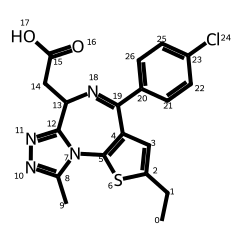 CCc1cc2c(s1)-n1c(C)nnc1C(CC(=O)O)N=C2c1ccc(Cl)cc1